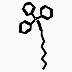 CCCCCCCC=C=P(c1ccccc1)(c1ccccc1)c1ccccc1